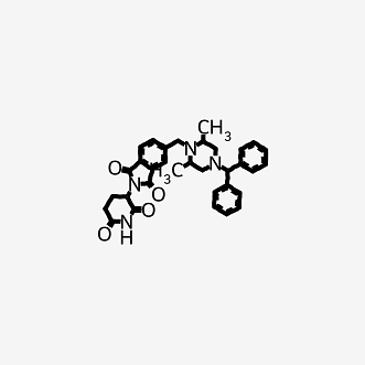 CC1CN(C(c2ccccc2)c2ccccc2)CC(C)N1Cc1ccc2c(c1)C(=O)N(C1CCC(=O)NC1=O)C2=O